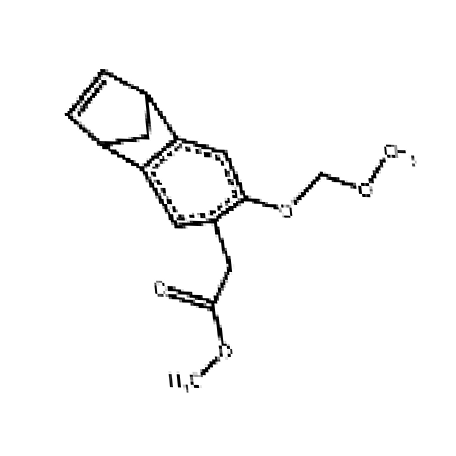 COCOc1cc2c(cc1CC(=O)OC)C1C=CC2C1